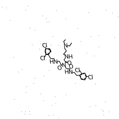 CCN(CC)CCCNCC(=O)N(CC(=O)NCCc1ccc(Cl)cc1Cl)C(=O)CNCCc1ccc(Cl)cc1Cl